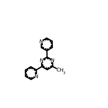 Cc1cc(-c2ccccn2)nc(-c2cccnc2)n1